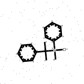 CC(C)(c1ccccc1)[Si](C)(Cl)c1ccccc1